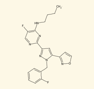 [CH2]CCCNc1nc(-c2cc(-c3ccon3)n(Cc3ccccc3F)n2)ncc1F